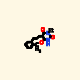 CCN1C(=O)NC(=O)/C(=C\C=C\c2ccccc2C)C1=O